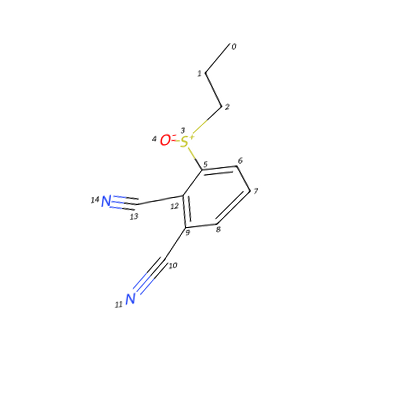 CCC[S+]([O-])c1cccc(C#N)c1C#N